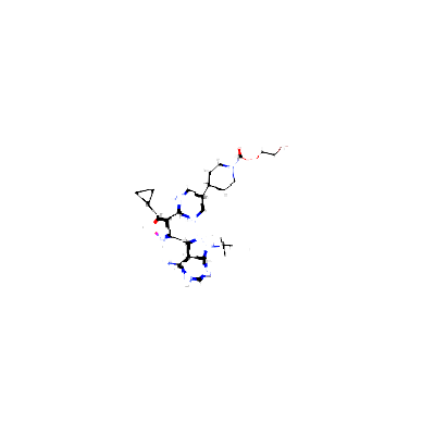 CC(C)(C)n1nc(-c2noc(C3CC3)c2-c2ncc(C3CCN(C(=O)OCCBr)CC3)cn2)c2c(N)ncnc21